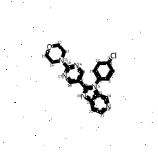 ClC1C=CC(n2c(-c3cnc(N4CCOCC4)nc3)nc3ccncc32)=CC1